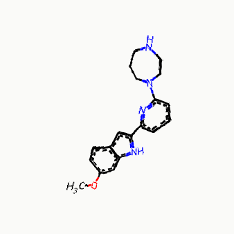 COc1ccc2cc(-c3cccc(N4CCCNCC4)n3)[nH]c2c1